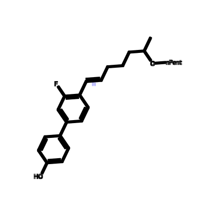 CCCCCOC(C)CCC/C=C/c1ccc(-c2ccc(O)cc2)cc1F